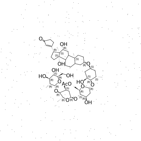 CC(=O)O[C@H]1C[C@@H](O[C@H]2[C@H](O)C[C@@H](O[C@@H]3[C@@H](C)C[C@H](O[C@@H]4CC[C@@]5(C)C(CCC6C5C[C@@H](O)[C@]5(C)[C@@H](C7=CC(=O)CC7)CC[C@]65O)C4)C[C@@H]3O)O[C@@H]2C)O[C@H](C)[C@H]1O[C@H]1O[C@H](CO)[C@@H](O)[C@H](O)[C@H]1C